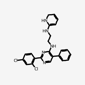 Clc1ccc(-c2ncc(-c3ccccc3)c(NCCNC3=CC=CCN3)n2)c(Cl)c1